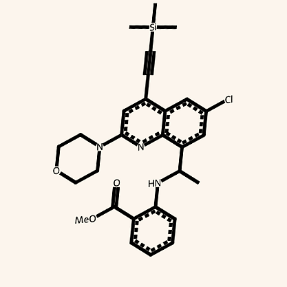 COC(=O)c1ccccc1NC(C)c1cc(Cl)cc2c(C#C[Si](C)(C)C)cc(N3CCOCC3)nc12